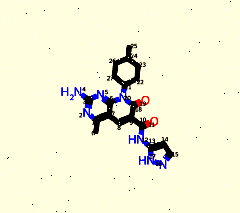 Cc1nc(N)nc2c1cc(C(=O)Nc1ccn[nH]1)c(=O)n2C1CCC(C)CC1